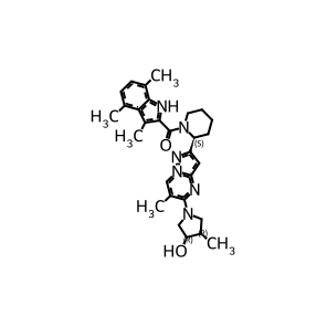 Cc1cn2nc([C@@H]3CCCCN3C(=O)c3[nH]c4c(C)ccc(C)c4c3C)cc2nc1N1C[C@@H](C)[C@@H](O)C1